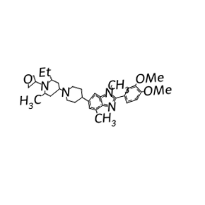 CCC1CC(N2CCC(c3cc(C)c4nc(-c5ccc(OC)c(OC)c5)n(C)c4c3)CC2)CC(C)N1C1COC1